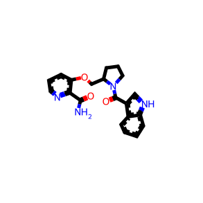 NC(=O)c1ncccc1OCC1CCCN1C(=O)c1c[nH]c2ccccc12